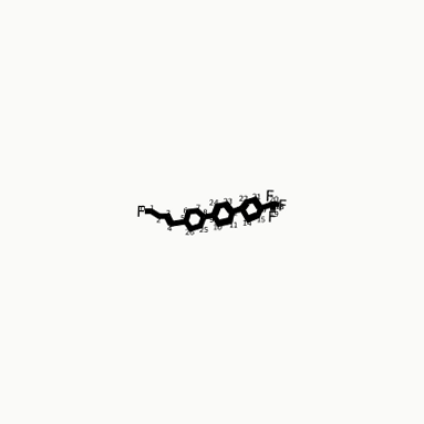 FCCC=CC1CCC(c2ccc(-c3ccc(C(F)(F)F)cc3)cc2)CC1